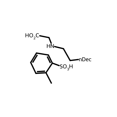 CCCCCCCCCCCCNCC(=O)O.Cc1ccccc1S(=O)(=O)O